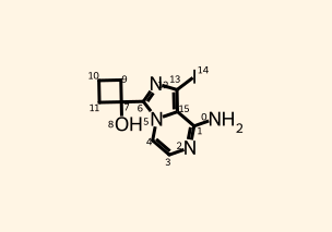 Nc1nccn2c(C3(O)CCC3)nc(I)c12